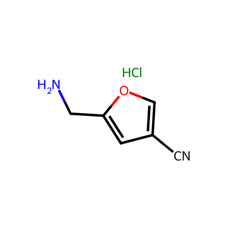 Cl.N#Cc1coc(CN)c1